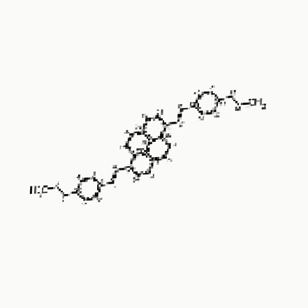 CCCc1ccc(C=Cc2ccc3ccc4c(C=Cc5ccc(CCC)cc5)ccc5ccc2c3c54)cc1